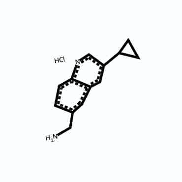 Cl.NCc1ccc2ncc(C3CC3)cc2c1